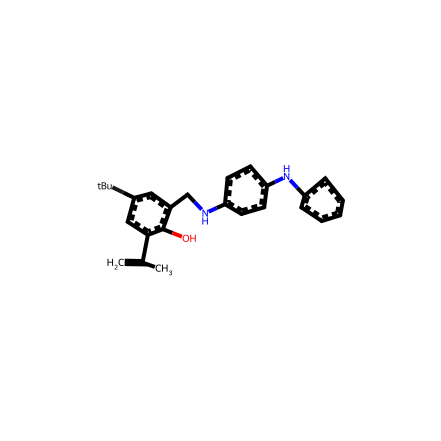 C=C(C)c1cc(C(C)(C)C)cc(CNc2ccc(Nc3ccccc3)cc2)c1O